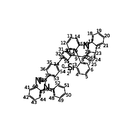 C[Si]1(C)c2ccccc2C2(c3ccccc3-n3c4ccccc4c4cccc2c43)c2cccc(-c3ccc(-c4nc5ccccc5n4-c4ccccc4)cc3)c21